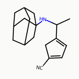 CC(NC12CC3CC(CC(C3)C1)C2)C1=CC=C(C#N)C1